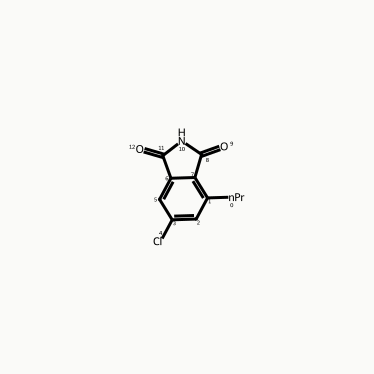 CCCc1cc(Cl)cc2c1C(=O)NC2=O